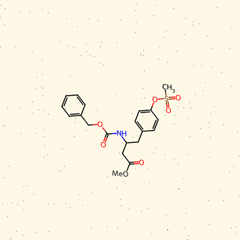 COC(=O)CC(Cc1ccc(OS(C)(=O)=O)cc1)NC(=O)OCc1ccccc1